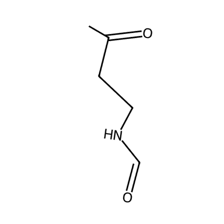 CC(=O)CCNC=O